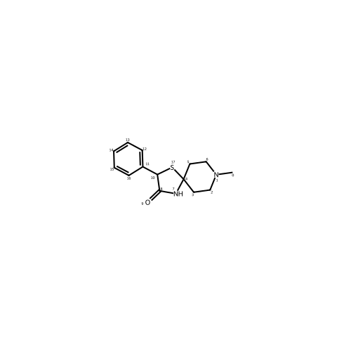 CN1CCC2(CC1)NC(=O)C(c1ccccc1)S2